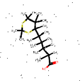 CC1(C)SC(C)(C)C(C)(C)C(C)(C(C)(C)C(C)(C)C(C)(C)C(C)(C)C(=O)O)S1